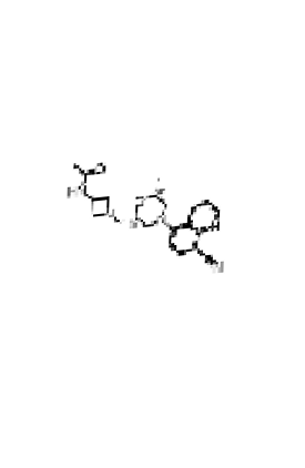 CC(=O)NC1CN(C[C@H]2CN(c3ccc(C#N)c4ncccc34)C[C@@H](C)O2)C1